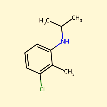 Cc1c(Cl)cccc1NC(C)C